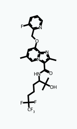 Cc1cc(OCc2ncccc2F)c2nc(C)c(C(=O)NC(CCCC(F)(F)C(F)(F)F)C(C)(C)O)n2c1